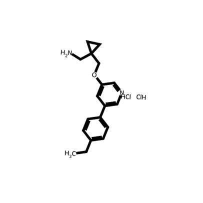 CCc1ccc(-c2cncc(OCC3(CN)CC3)c2)cc1.Cl.Cl